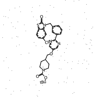 CC(C)(C)OC(=O)N1CCC(COc2cnc(-c3cccc(Cn4c(=O)sc5ccc(C(F)(F)F)cc54)c3)nc2)CC1